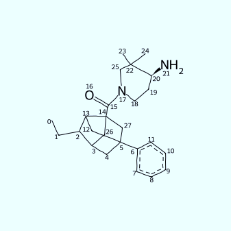 CCC1C2CC3(c4ccccc4)CC1C(C(=O)N1CC[C@H](N)C(C)(C)C1)(C2)C3